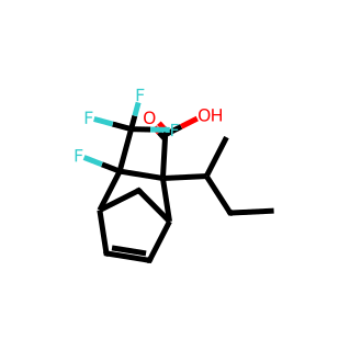 CCC(C)C1(C(=O)O)C2C=CC(C2)C1(F)C(F)(F)F